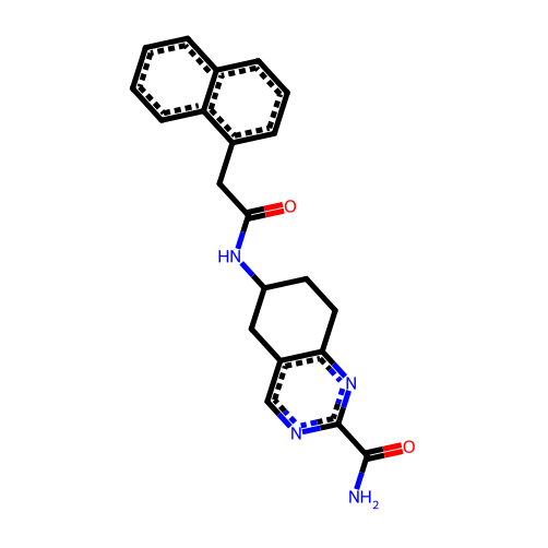 NC(=O)c1ncc2c(n1)CCC(NC(=O)Cc1cccc3ccccc13)C2